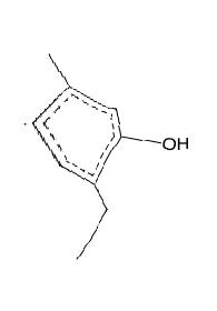 CCc1c[c]c(C)cc1O